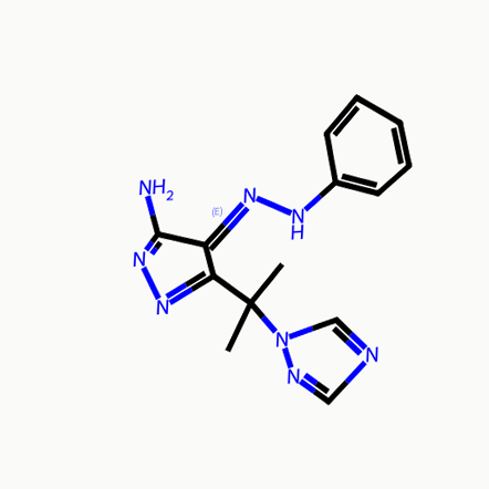 CC(C)(C1=NN=C(N)/C1=N/Nc1ccccc1)n1cncn1